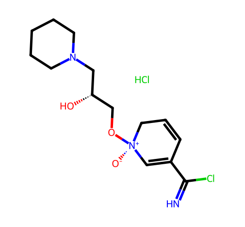 Cl.N=C(Cl)C1=C[N@@+]([O-])(OC[C@H](O)CN2CCCCC2)CC=C1